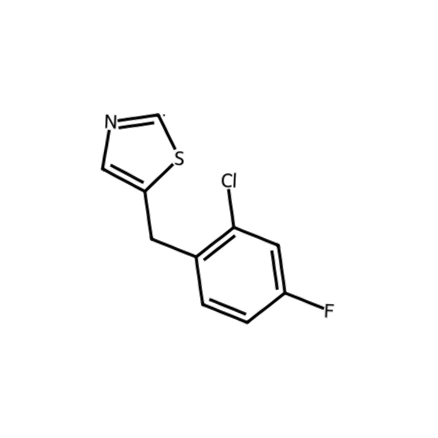 Fc1ccc(Cc2cn[c]s2)c(Cl)c1